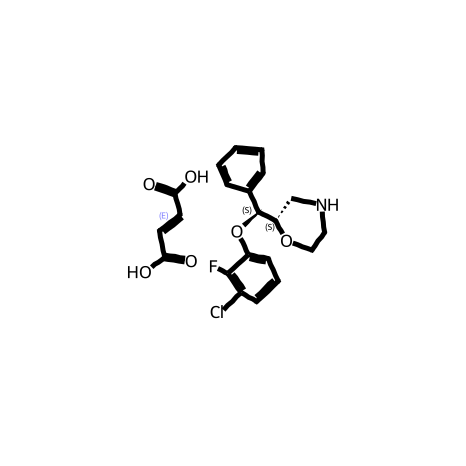 Fc1c(Cl)cccc1O[C@@H](c1ccccc1)[C@@H]1CNCCO1.O=C(O)/C=C/C(=O)O